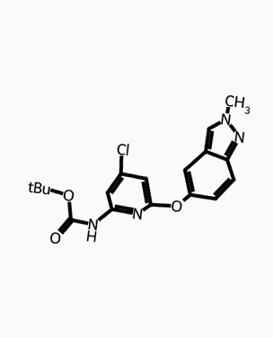 Cn1cc2cc(Oc3cc(Cl)cc(NC(=O)OC(C)(C)C)n3)ccc2n1